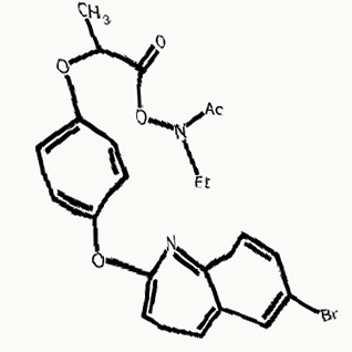 CCN(OC(=O)C(C)Oc1ccc(Oc2ccc3cc(Br)ccc3n2)cc1)C(C)=O